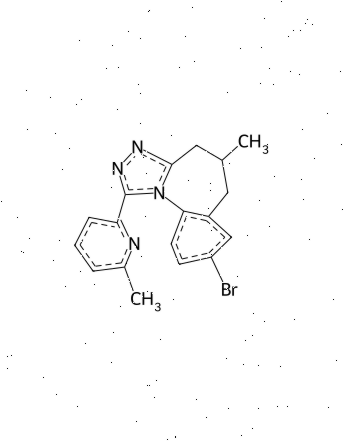 Cc1cccc(-c2nnc3n2-c2ccc(Br)cc2CC(C)C3)n1